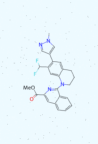 COC(=O)c1cc2ccccc2c(N2CCCc3cc(-c4cnn(C)c4)c(C(F)F)cc32)n1